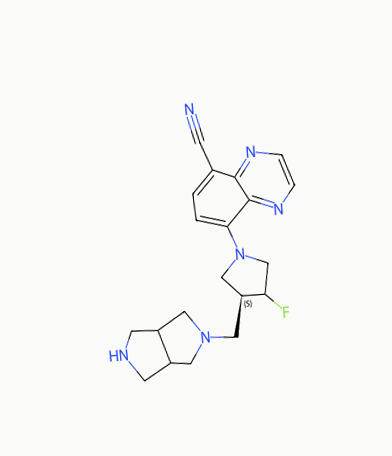 N#Cc1ccc(N2CC(F)[C@@H](CN3CC4CNCC4C3)C2)c2nccnc12